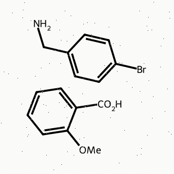 COc1ccccc1C(=O)O.NCc1ccc(Br)cc1